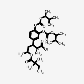 CCC(C)(C)C(=O)OC(C)CC(c1ccc(OC(=O)OC(C)C(C)C)c(OC(=O)OC(C)C(C)C)c1)[C@H](N)C(=O)O